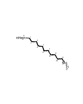 CCCCCCCCCCCCCCCCC[CH2][Mg][Cl]